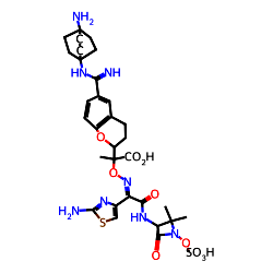 CC(ON=C(C(=O)NC1C(=O)N(OS(=O)(=O)O)C1(C)C)c1csc(N)n1)(C(=O)O)C1CCc2cc(C(=N)NC34CCC(N)(CC3)CC4)ccc2O1